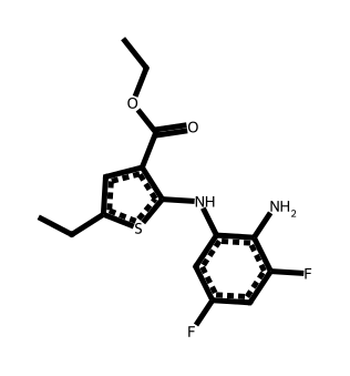 CCOC(=O)c1cc(CC)sc1Nc1cc(F)cc(F)c1N